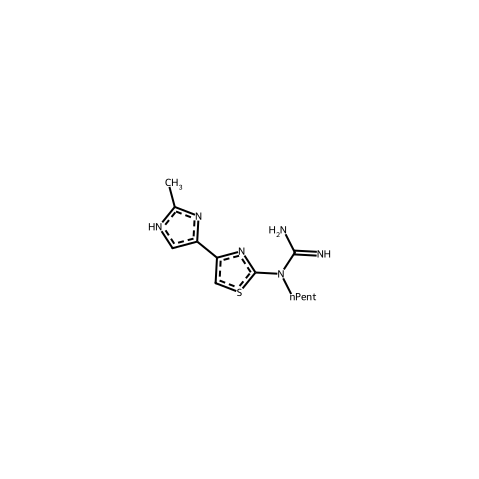 CCCCCN(C(=N)N)c1nc(-c2c[nH]c(C)n2)cs1